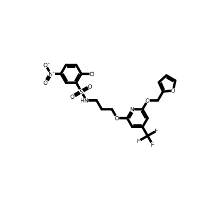 O=[N+]([O-])c1ccc(Cl)c(S(=O)(=O)NCCCOc2cc(C(F)(F)F)cc(OCc3ccco3)n2)c1